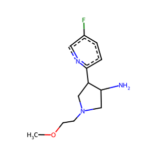 COCCN1CC(N)C(c2ccc(F)cn2)C1